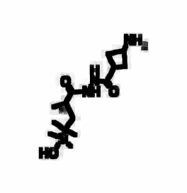 C[C@H](CC(C)(C)[Si](C)(C)O)C(=O)NNC(=O)C1CC(N)C1